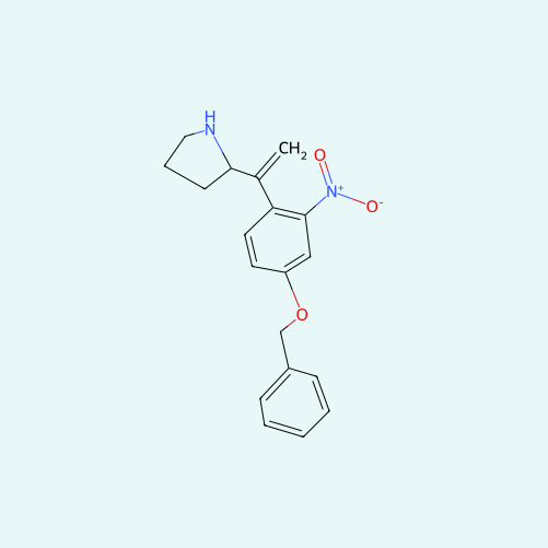 C=C(c1ccc(OCc2ccccc2)cc1[N+](=O)[O-])C1CCCN1